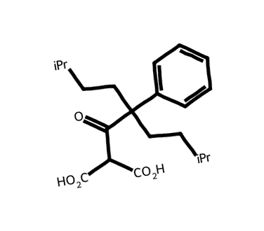 CC(C)CCC(CCC(C)C)(C(=O)C(C(=O)O)C(=O)O)c1ccccc1